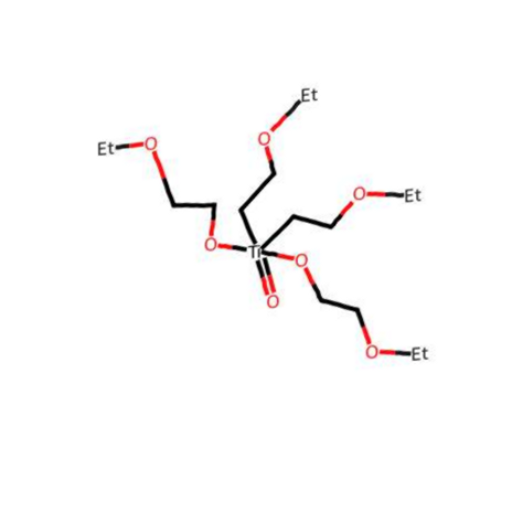 CCOCC[O][Ti](=[O])([CH2]COCC)([CH2]COCC)[O]CCOCC